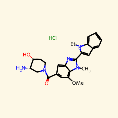 CCn1c(-c2nc3cc(C(=O)N4CC[C@@H](O)[C@@H](N)C4)cc(OC)c3n2C)cc2ccccc21.Cl